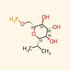 CC(C)[C@@H]1O[C@H](COP)[C@@H](O)[C@H](O)[C@H]1O